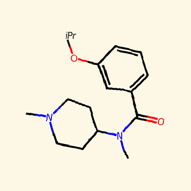 CC(C)Oc1cccc(C(=O)N(C)C2CCN(C)CC2)c1